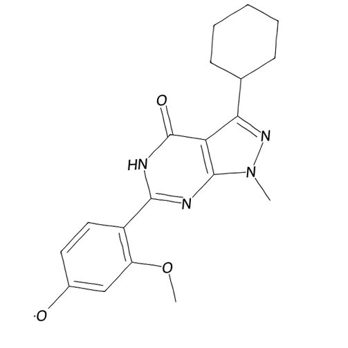 COc1cc([O])ccc1-c1nc2c(c(C3CCCCC3)nn2C)c(=O)[nH]1